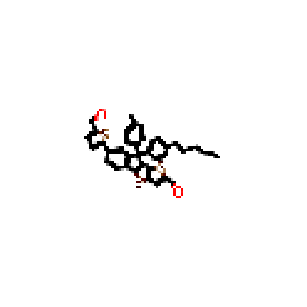 CCCCCCc1ccc(C2(c3ccc(C)cc3)c3cc(-c4ccc(C=O)s4)ccc3-c3sc4cc(C=O)sc4c32)cc1